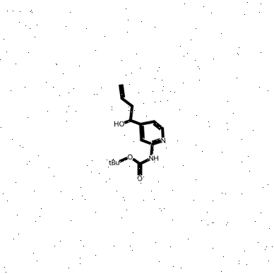 C=CCC(O)c1ccnc(NC(=O)OC(C)(C)C)c1